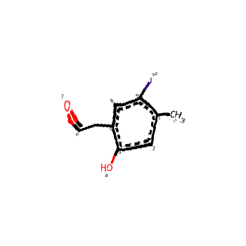 Cc1cc(O)c(C=O)cc1I